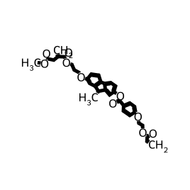 C=CC(=O)OCCOc1ccc(C(=O)Oc2ccc3c(c2)C(C)c2cc(OCCCOC(=O)C(=C)CC(=O)OC)ccc2-3)cc1